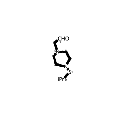 CC(C)SN1CCN(CC=O)CC1